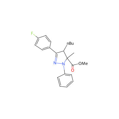 CCCCC1C(c2ccc(F)cc2)=NN(c2ccccc2)C1(C)C(=O)OC